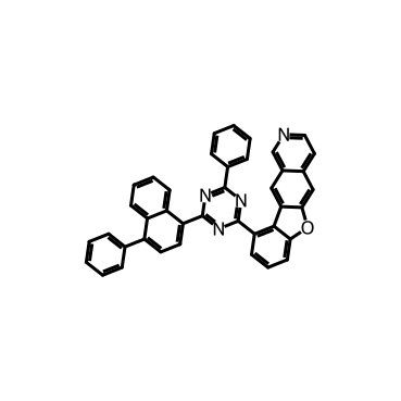 c1ccc(-c2nc(-c3ccc(-c4ccccc4)c4ccccc34)nc(-c3cccc4oc5cc6ccncc6cc5c34)n2)cc1